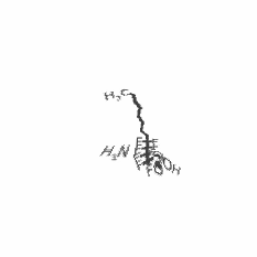 CCCCCCCCC(F)(F)C(F)(F)C(F)(F)C(F)(F)S(=O)(=O)O.N